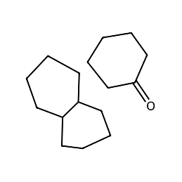 C1CCC2CCCCC2C1.O=C1CCCCC1